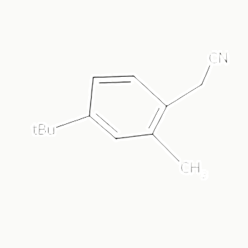 Cc1cc(C(C)(C)C)ccc1CC#N